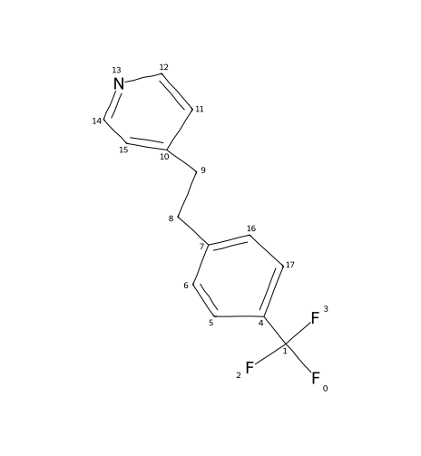 FC(F)(F)c1ccc(CCc2ccncc2)cc1